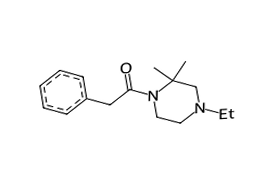 CCN1CCN(C(=O)Cc2ccccc2)C(C)(C)C1